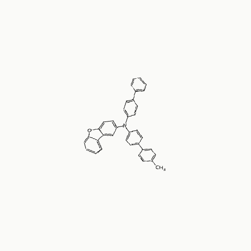 Cc1ccc(-c2ccc(N(c3ccc(-c4ccccc4)cc3)c3ccc4oc5ccccc5c4c3)cc2)cc1